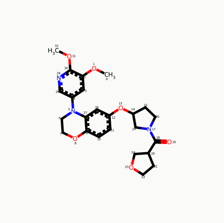 COc1cc(N2CCOc3ccc(OC4CCN(C(=O)C5CCOC5)C4)cc32)cnc1OC